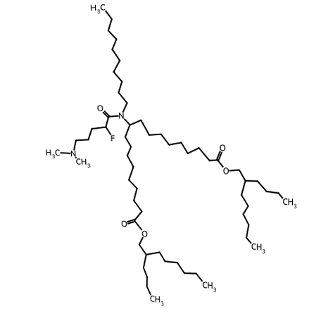 CCCCCCCCCCN(C(=O)C(F)CCCN(C)C)C(CCCCCCCCC(=O)OCC(CCCC)CCCCCC)CCCCCCCCC(=O)OCC(CCCC)CCCCCC